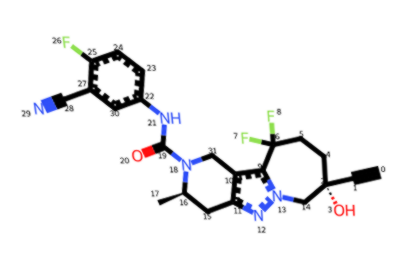 C#C[C@]1(O)CCC(F)(F)c2c3c(nn2C1)C[C@@H](C)N(C(=O)Nc1ccc(F)c(C#N)c1)C3